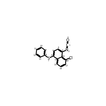 O=C=Nc1ccc(Sc2ccccc2)c2cccc(Cl)c12